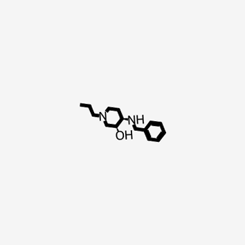 CCCN1CC[C@@H](NCc2ccccc2)[C@H](O)C1